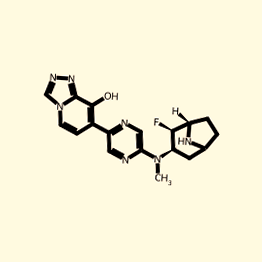 CN(c1cnc(-c2ccn3cnnc3c2O)cn1)[C@@H]1CC2CC[C@H](N2)[C@@H]1F